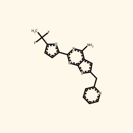 CC(F)(F)c1ccc(-c2nc(N)c3cc(Cc4ccccn4)sc3n2)o1